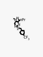 CCCc1nn(C)c2cnc(N(C)Cc3ccc(C(F)(F)F)cc3)nc12